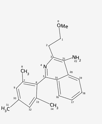 COCCc1nc(-c2c(C)cc(C)cc2C)c2ccccc2c1N